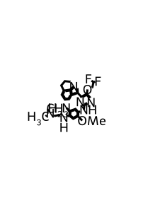 COc1cc(NCCN(C)C)c(N)cc1Nc1ncc(OCC(F)F)c(-c2cn3c4c(cccc24)CCC3)n1